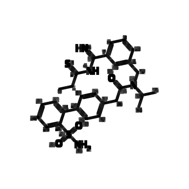 CCC(=S)NC(=N)c1cccc(CN(C(=O)Cc2ccc(-c3ccccc3S(N)(=O)=O)cc2)C(C)C)c1